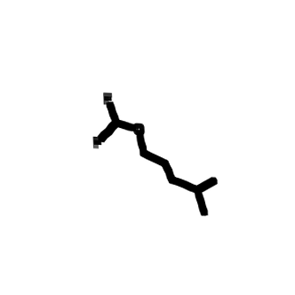 CC(C)CCCOC(F)F